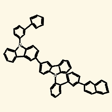 c1ccc(-c2cccc(-n3c4ccccc4c4cc(-c5ccc6c(c5)c5ccccc5n6-c5ccccc5-c5cccc(-c6ccc7ccccc7c6)c5)ccc43)c2)cc1